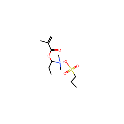 C=C(C)C(=O)OC(CC)[N+](C)(C)OS(=O)(=O)CCC